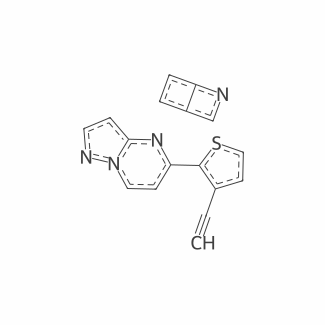 C#Cc1ccsc1-c1ccn2nccc2n1.c1cc2ncc1-2